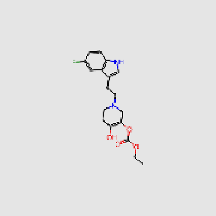 CCOC(=O)OC1=C(O)CCN(CCc2c[nH]c3ccc(F)cc23)C1